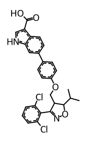 CC(C)C1ON=C(c2c(Cl)cccc2Cl)C1COc1ccc(-c2ccc3c(C(=O)O)c[nH]c3c2)cc1